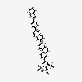 C=C/C(=C\C(=C/CC(F)(F)F)c1ccc2c(ccc3cc(-c4ccc5cc(-c6ccc(-c7nc8ccccc8o7)cc6)ccc5c4)ccc32)c1)C(F)(F)F